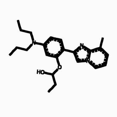 CCCN(CCC)c1ccc(-c2cn3cccc(C)c3n2)c(OC(O)CC)c1